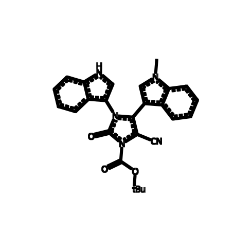 Cn1cc(-c2c(C#N)n(C(=O)OC(C)(C)C)c(=O)n2-c2c[nH]c3ccccc23)c2ccccc21